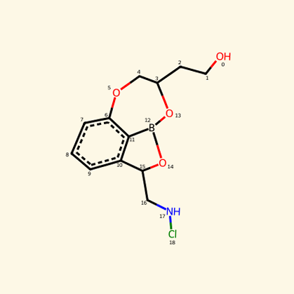 OCCC1COc2cccc3c2B(O1)OC3CNCl